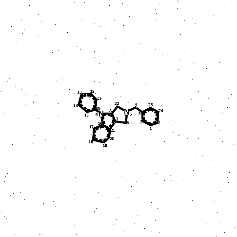 c1ccc(CN2Cc3c(n(-c4ccccc4)c4ccccc34)C2)cc1